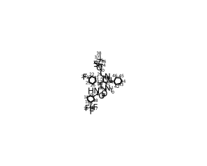 CCN1C(=O)[C@H](NC(=O)c2cccc(C(F)(F)F)c2)[C@H](c2ccc(F)cc2)c2c(CCO[Si](C)(C)C(C)(C)C)nn(-c3ccccc3)c21